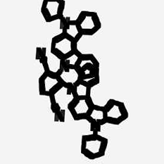 N#Cc1ccc(C#N)c(-n2c3ccccc3c3c4c5ccccc5n(-c5ccccc5)c4ccc32)c1-n1c2ccccc2c2c3c4ccccc4n(-c4ccccc4)c3ccc21